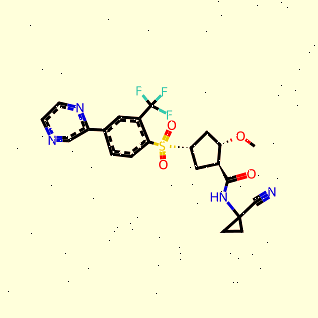 CO[C@H]1C[C@@H](S(=O)(=O)c2ccc(-c3cnccn3)cc2C(F)(F)F)C[C@@H]1C(=O)NC1(C#N)CC1